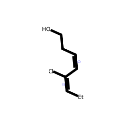 CC/C=C(Cl)\C=C/CCO